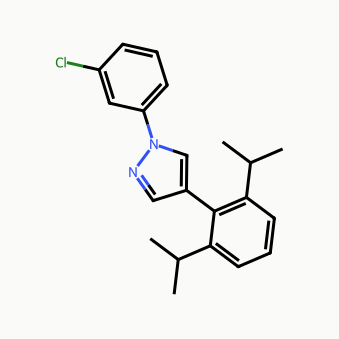 CC(C)c1cccc(C(C)C)c1-c1cnn(-c2cccc(Cl)c2)c1